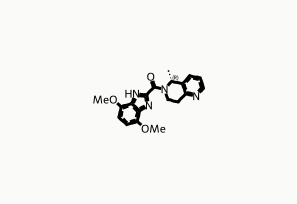 COc1ccc(OC)c2[nH]c(C(=O)N3CCc4ncccc4[C@H]3C)nc12